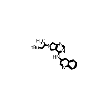 CC(CC(C)(C)C)N1Cc2ncnc(Nc3cnc4ccccc4c3)c2C1